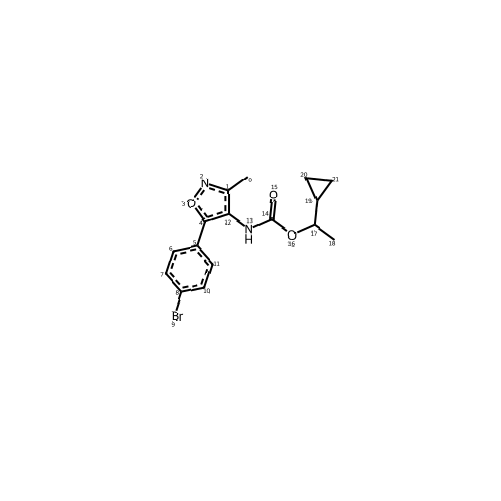 Cc1noc(-c2ccc(Br)cc2)c1NC(=O)OC(C)C1CC1